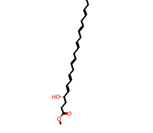 CCC=CCC=CCC=CCC=CCC=CC=C[C@@H](O)CCC(=O)OC